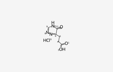 Cl.O=C(O)CCc1nnc[nH]c1=O